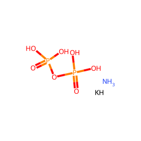 N.O=P(O)(O)OP(=O)(O)O.[KH]